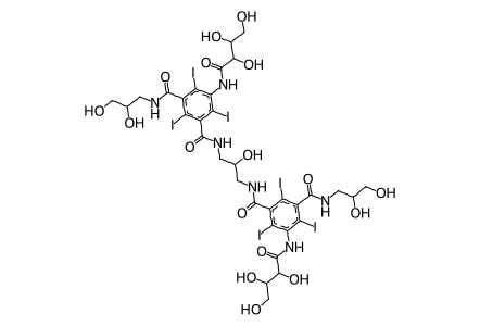 O=C(NCC(O)CO)c1c(I)c(NC(=O)C(O)C(O)CO)c(I)c(C(=O)NCC(O)CNC(=O)c2c(I)c(NC(=O)C(O)C(O)CO)c(I)c(C(=O)NCC(O)CO)c2I)c1I